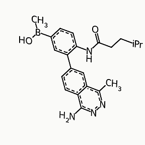 CB(O)c1ccc(NC(=O)CCC(C)C)c(-c2ccc3c(N)nnc(C)c3c2)c1